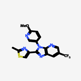 COc1ccc(-n2c(-c3csc(C)n3)nc3cc(C(F)(F)F)cnc32)cn1